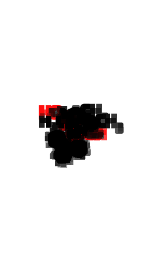 CC1=C[C@H]2[C@@]3(O)[C@H](C)C[C@]4(OC(=O)c5ccccc5)[C@H]([C@@H]3C=C(COC(c3ccccc3)(c3ccccc3)c3ccccc3)C[C@]2(O)C1=O)C4(C)CO